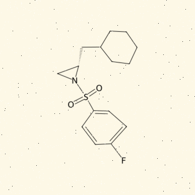 O=S(=O)(c1ccc(F)cc1)N1C[C@@H]1CC1CCCCC1